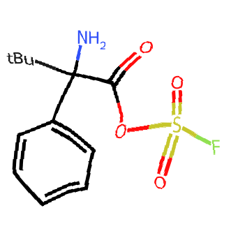 CC(C)(C)C(N)(C(=O)OS(=O)(=O)F)c1ccccc1